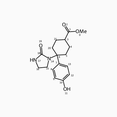 COC(=O)C1CCC(c2ccc(O)cc2)(N2CCNC2=O)CC1